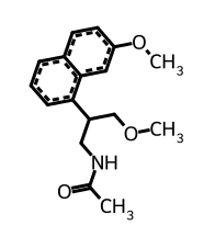 COCC(CNC(C)=O)c1cccc2ccc(OC)cc12